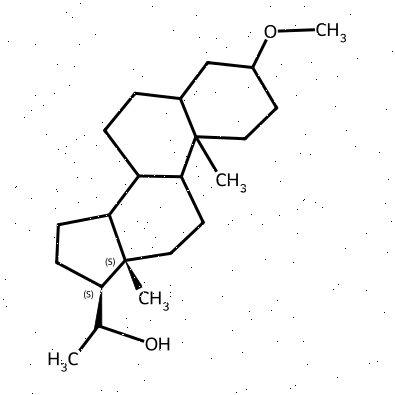 COC1CCC2(C)C(CCC3C2CC[C@@]2(C)C3CC[C@@H]2C(C)O)C1